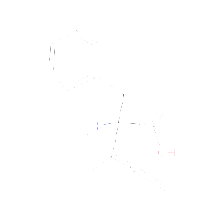 C=C=C(C)C(N)(Cc1ccccc1)C(=O)O